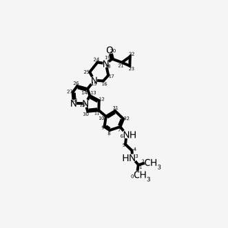 CC(C)NCCNc1ccc(-c2cc3c(N4CCN(C(=O)C5CC5)CC4)ccnn3c2)cc1